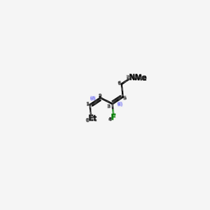 CC/C=C\C(F)=C/CNC